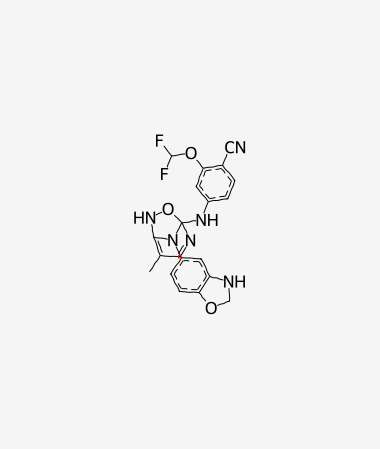 CC1=C2NOC(Nc3ccc(C#N)c(OC(F)F)c3)(N=C1)N2c1ccc2c(c1)NCO2